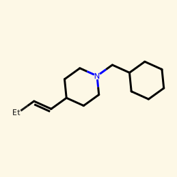 CC/C=C/C1CCN(CC2CCCCC2)CC1